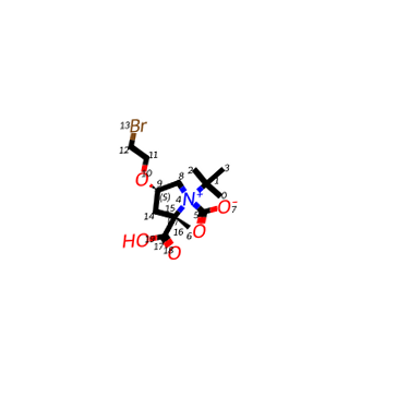 CC(C)(C)[N+]1(C(=O)[O-])C[C@@H](OCCBr)C[C@@]1(C)C(=O)O